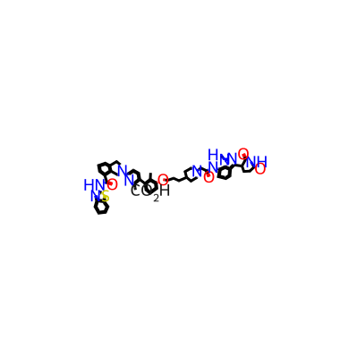 Cc1c(OCCCC2CCN(CC(=O)Nc3cccc4c(C5CCC(=O)NC5=O)nn(C)c34)CC2)cccc1-c1ccc(N2CCc3cccc(C(=O)Nc4nc5ccccc5s4)c3C2)nc1C(=O)O